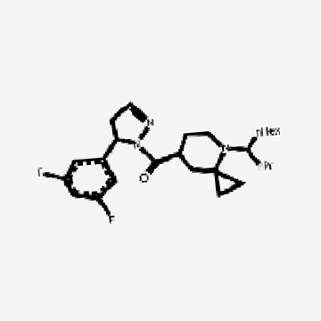 CCCCCCC(CCC)N1CCC(C(=O)N2N=CCC2c2cc(F)cc(F)c2)CC12CC2